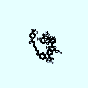 COc1cc(C(=O)N(C)c2ccc(OCCCCCC(=O)N3CCN(C)CC3)cc2)ccc1NC(=O)c1ccccc1OCCCNC(=O)OC(C)(C)C